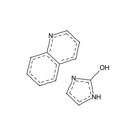 Oc1ncc[nH]1.c1ccc2ncccc2c1